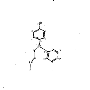 COCCN(c1ccc(Br)cc1)c1cccnc1